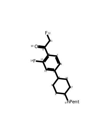 CCCCCC1CCC(c2ccc(C(=O)CF)c(F)c2)CC1